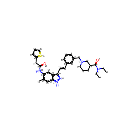 CCN(CC)C(=O)C1CCCN(Cc2cccc(C=Cc3n[nH]c4cc(C)c(NC(=O)Cc5cccs5)cc34)c2)C1